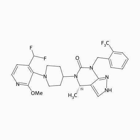 COc1nccc(C(F)F)c1N1CCC(N2C(=O)N(Cc3ccccc3C(F)(F)F)c3n[nH]cc3[C@@H]2C)CC1